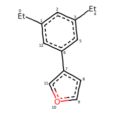 CCc1[c]c(CC)cc(-c2ccoc2)c1